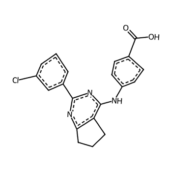 O=C(O)c1ccc(Nc2nc(-c3cccc(Cl)c3)nc3c2CCC3)cc1